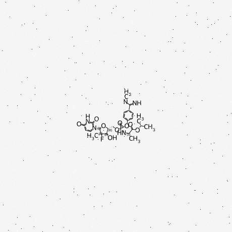 C=NC(=N)c1ccc(OP(=O)(N[C@@H](C)C(=O)OC(C)C)OC[C@H]2O[C@@H](n3ccc(=O)[nH]c3=O)[C@](C)(F)[C@@H]2O)cc1